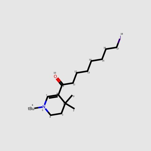 CC1(C)CCN(C(C)(C)C)C=C1C(=O)CCCCCCCI